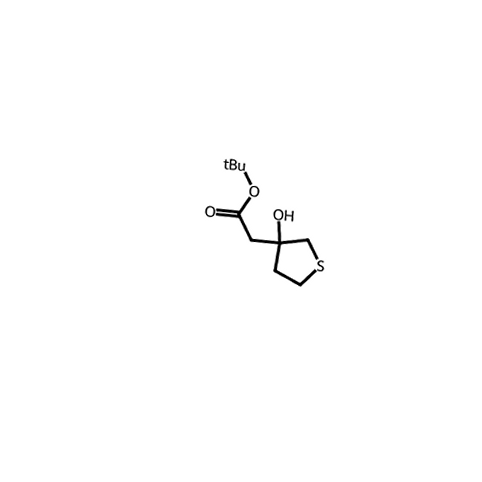 CC(C)(C)OC(=O)CC1(O)CCSC1